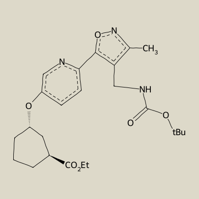 CCOC(=O)[C@H]1CCC[C@H](Oc2ccc(-c3onc(C)c3CNC(=O)OC(C)(C)C)nc2)C1